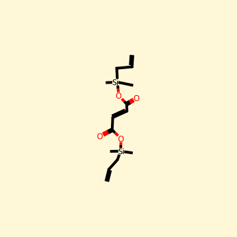 C=CC[Si](C)(C)OC(=O)/C=C/C(=O)O[Si](C)(C)CC=C